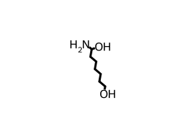 NC(O)CCCCCCO